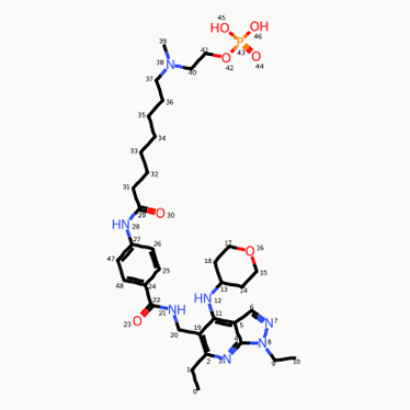 CCc1nc2c(cnn2CC)c(NC2CCOCC2)c1CNC(=O)c1ccc(NC(=O)CCCCCCCN(C)CCOP(=O)(O)O)cc1